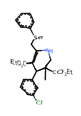 CCOC(=O)C1=C(C[Se]c2ccccc2)NCC(C)(C(=O)OCC)C1c1cccc(Cl)c1